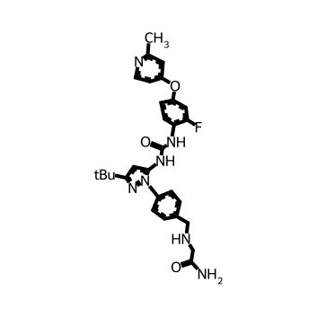 Cc1cc(Oc2ccc(NC(=O)Nc3cc(C(C)(C)C)nn3-c3ccc(CNCC(N)=O)cc3)c(F)c2)ccn1